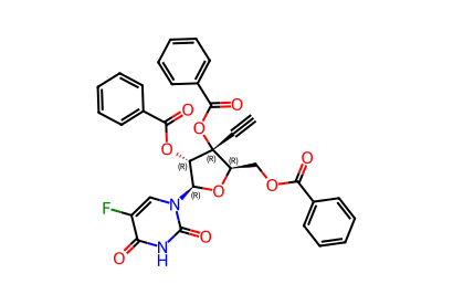 C#C[C@@]1(OC(=O)c2ccccc2)[C@@H](COC(=O)c2ccccc2)O[C@@H](n2cc(F)c(=O)[nH]c2=O)[C@@H]1OC(=O)c1ccccc1